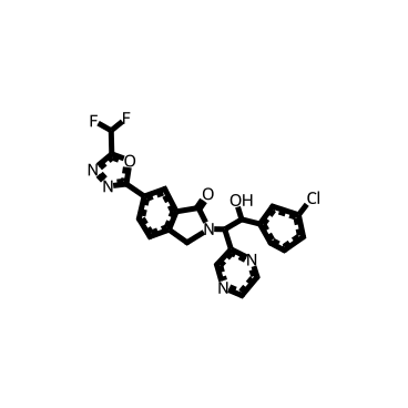 O=C1c2cc(-c3nnc(C(F)F)o3)ccc2CN1C(c1cnccn1)C(O)c1cccc(Cl)c1